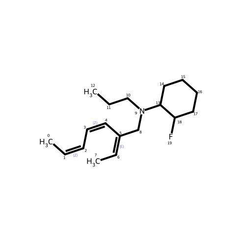 C\C=C/C=C\C(=C/C)CN(CCC)C1CCCCC1F